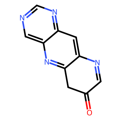 O=C1C=Nc2cc3ncncc3nc2C1